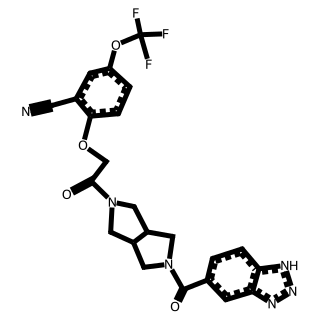 N#Cc1cc(OC(F)(F)F)ccc1OCC(=O)N1CC2CN(C(=O)c3ccc4[nH]nnc4c3)CC2C1